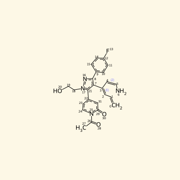 C=C/C=C(\C=C/N)c1c(-c2ccc(F)cc2)nn(CCO)c1-c1ccn(C(C)=O)c(=O)c1